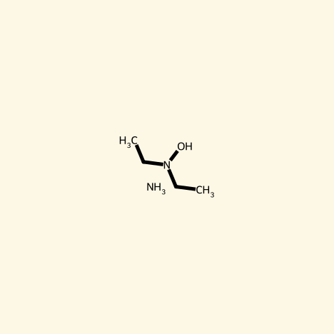 CCN(O)CC.N